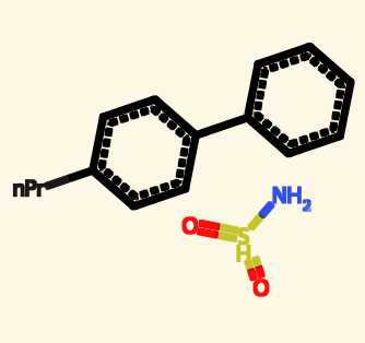 CCCc1ccc(-c2ccccc2)cc1.N[SH](=O)=O